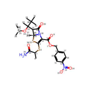 CC(SC1=C(C(=O)OCc2ccc([N+](=O)[O-])cc2)N2C(=O)C(C(C)(O[SiH](C)C)C(C)(C)C)[C@H]2S1)C(N)=O